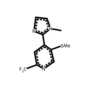 CSc1cnc(C(F)(F)F)cc1-c1nccn1C